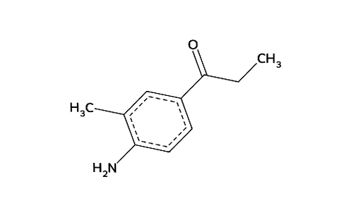 CCC(=O)c1ccc(N)c(C)c1